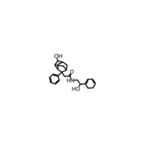 O=C(CC1(c2ccccc2)C2CC3CC1C(C2)C3O)NCC(O)C1=CC=CCC1